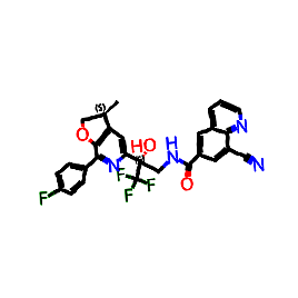 C[C@@H]1COc2c1cc([C@@](O)(CNC(=O)c1cc(C#N)c3ncccc3c1)C(F)(F)F)nc2-c1ccc(F)cc1